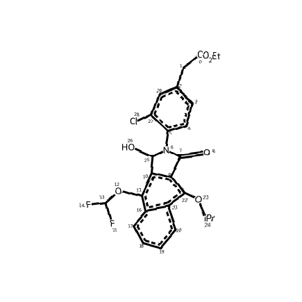 CCOC(=O)Cc1ccc(N2C(=O)c3c(c(OC(F)F)c4ccccc4c3OC(C)C)C2O)c(Cl)c1